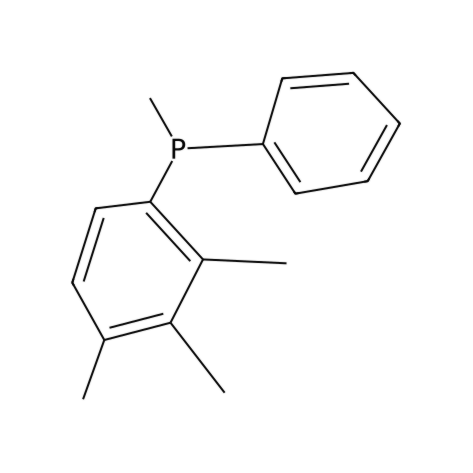 Cc1ccc(P(C)c2ccccc2)c(C)c1C